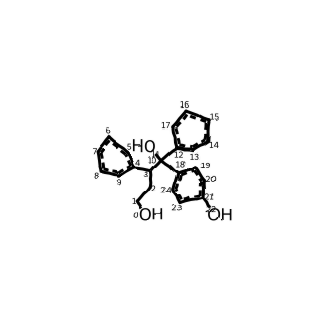 OCCC(c1ccccc1)C(O)(c1ccccc1)c1ccc(O)cc1